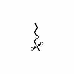 CCCOCS(C)(=O)=O